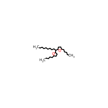 CCCCCCCCCC(C1CCC(CCCCC)O1)C1CCC(CCCCC)O1